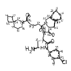 Cc1cc(NC(=O)[C@H](CCN)NC(=O)[C@@H]2Cc3ccccc3CN2C(=O)CCC(=O)N2CCCC3(CCC3)C2)ccc1Cl